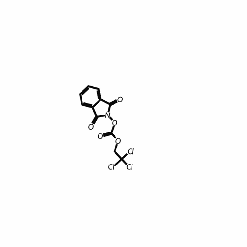 O=C(OCC(Cl)(Cl)Cl)ON1C(=O)c2ccccc2C1=O